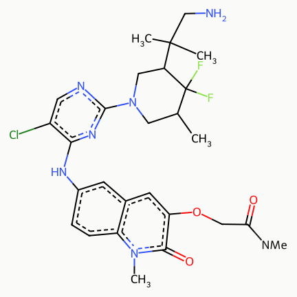 CNC(=O)COc1cc2cc(Nc3nc(N4CC(C)C(F)(F)C(C(C)(C)CN)C4)ncc3Cl)ccc2n(C)c1=O